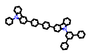 c1ccc(-c2cc(-c3ccccc3)cc(-n3c4ccccc4c4cc(-c5ccc(-c6ccc(-c7ccc8c(c7)c7ccccc7n8-c7ccccc7)cc6)cc5)ccc43)c2)cc1